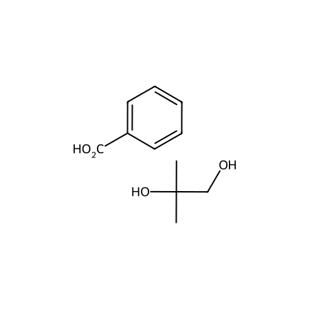 CC(C)(O)CO.O=C(O)c1ccccc1